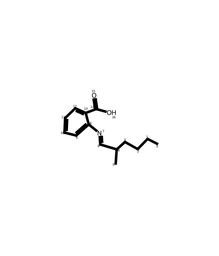 CCCCC(C)C=Nc1ccccc1C(=O)O